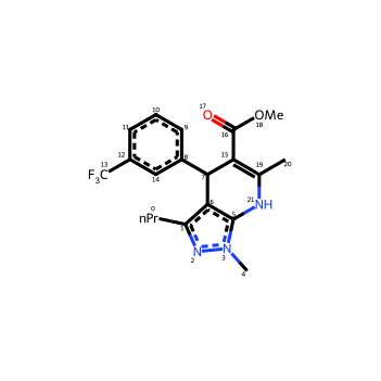 CCCc1nn(C)c2c1C(c1cccc(C(F)(F)F)c1)C(C(=O)OC)=C(C)N2